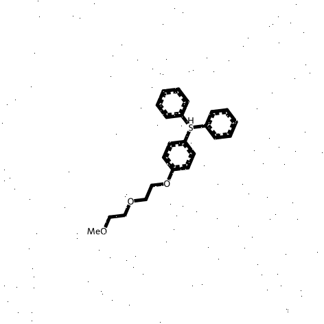 COCCOCCOc1ccc([SH](c2ccccc2)c2ccccc2)cc1